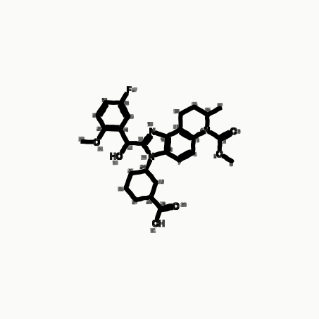 COC(=O)N1c2ccc3c(nc(C(O)c4cc(F)ccc4OC)n3[C@@H]3CCCC(C(=O)O)C3)c2CCC1C